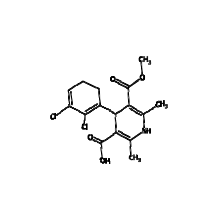 COC(=O)C1=C(C)NC(C)=C(C(=O)O)C1C1=C(Cl)C(Cl)=CCC1